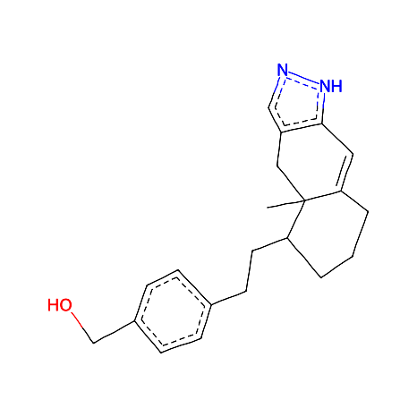 CC12Cc3cn[nH]c3C=C1CCCC2CCc1ccc(CO)cc1